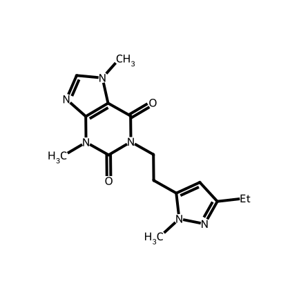 CCc1cc(CCn2c(=O)c3c(ncn3C)n(C)c2=O)n(C)n1